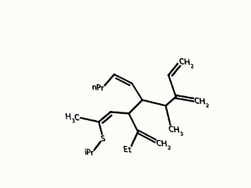 C=CC(=C)C(C)C(/C=C\CCC)C(/C=C(/C)SC(C)C)C(=C)CC